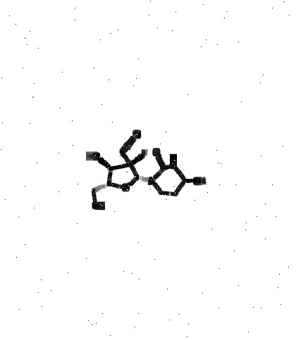 O=C[C@@]1(F)[C@H](O)[C@@H](CO)O[C@H]1N1CCC(O)NC1=O